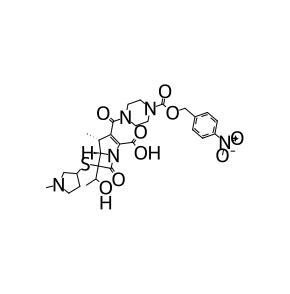 CC(O)C1(SC2CCN(C)C2)C(=O)N2C(C(=O)O)=C(C(=O)N3CCN(C(=O)OCc4ccc([N+](=O)[O-])cc4)CC3)[C@@H](C)[C@H]21